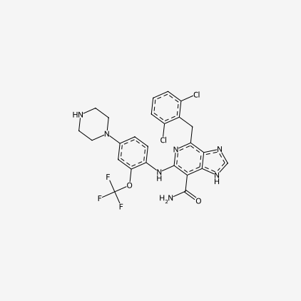 NC(=O)c1c(Nc2ccc(N3CCNCC3)cc2OC(F)(F)F)nc(Cc2c(Cl)cccc2Cl)c2nc[nH]c12